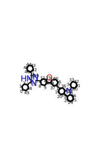 c1ccc(C2=NC(c3ccc4c(c3)oc3ccc(-c5ccc6c7ccccc7n(-c7ccccc7)c6c5)cc34)=NC(c3ccccc3)N2)cc1